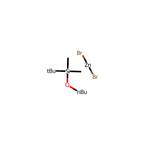 [Br][Zn][Br].[CH2]CCCO[Si](C)(C)C(C)(C)C